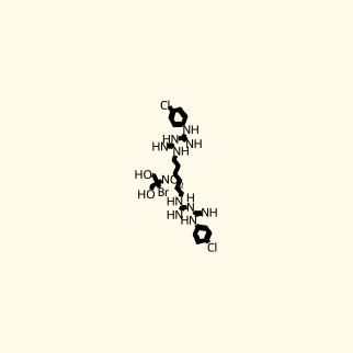 N=C(NCCCCCCNC(=N)NC(=N)Nc1ccc(Cl)cc1)NC(=N)Nc1ccc(Cl)cc1.O=[N+]([O-])C(Br)(CO)CO